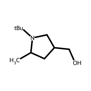 CC1CC(CO)CN1C(C)(C)C